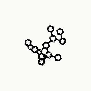 c1ccc(-c2nc(-c3ccc(-n4c5ccccc5c5cc6oc7ccccc7c6cc54)c(-c4nc(-c5ccccc5)nc(-c5ccccc5)n4)c3)nc(-c3ccccc3-c3ccccc3)n2)cc1